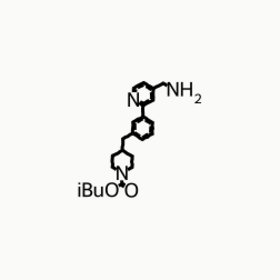 CC(C)COC(=O)N1CCC(Cc2cccc(-c3cc(CN)ccn3)c2)CC1